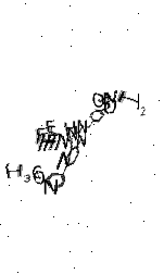 COc1cc(-c2ccc3nc(NCc4ccc(S(N)(=O)=O)cc4)nc(NCC(F)(F)F)c3n2)ccn1